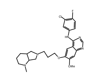 COc1cc2ncnc(Nc3ccc(F)c(Cl)c3)c2cc1OCCCN1CC2CCCN(C)C2C1